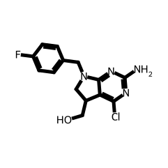 Nc1nc(Cl)c2c(n1)N(Cc1ccc(F)cc1)CC2CO